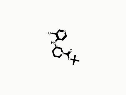 CC(C)(C)OC(=O)N1CCC[C@@H](Nc2ccncc2N)C1